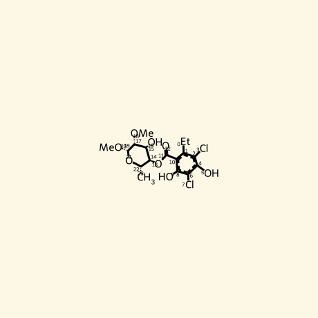 CCc1c(Cl)c(O)c(Cl)c(O)c1C(=O)O[C@@H]1[C@@H](O)[C@@H](OC)[C@@H](OC)O[C@H]1C